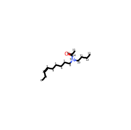 CC/C=C\CCCCCN(CCCC)C(C)=O